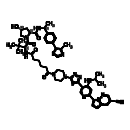 Cc1ncsc1-c1ccc([C@H](C)NC(=O)[C@@H]2C[C@@H](O)CN2C(=O)[C@@H](NC(=O)CCCCC(=O)N2CCN(c3nnc(-c4cnc(-c5ccc6cc(C#N)cnn56)cc4NC(C)C)s3)CC2)C(C)(C)C)cc1